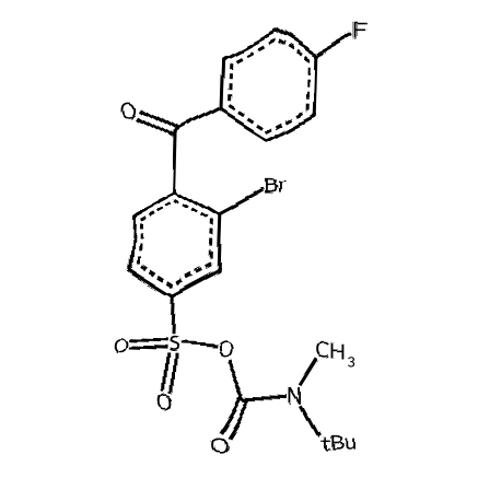 CN(C(=O)OS(=O)(=O)c1ccc(C(=O)c2ccc(F)cc2)c(Br)c1)C(C)(C)C